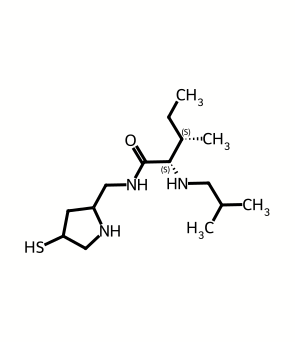 CC[C@H](C)[C@H](NCC(C)C)C(=O)NCC1CC(S)CN1